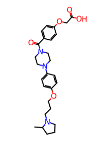 CC1CCCN1CCCOc1ccc(N2CCN(C(=O)c3ccc(OCC(=O)O)cc3)CC2)cc1